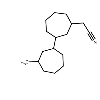 CC1CCCCC(C2CCCCC(CC#N)C2)C1